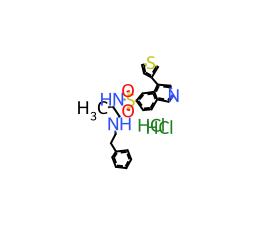 C[C@H](CNCCc1ccccc1)NS(=O)(=O)c1ccc2cncc(-c3ccsc3)c2c1.Cl.Cl